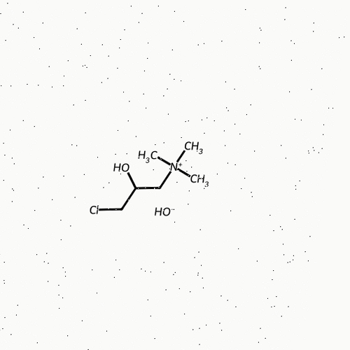 C[N+](C)(C)CC(O)CCl.[OH-]